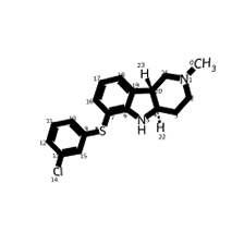 CN1CC[C@H]2Nc3c(Sc4cccc(Cl)c4)cccc3[C@@H]2C1